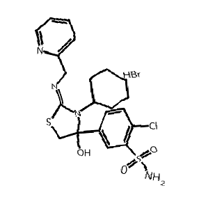 Br.NS(=O)(=O)c1cc(C2(O)CSC(=NCc3ccccn3)N2C2CCCCC2)ccc1Cl